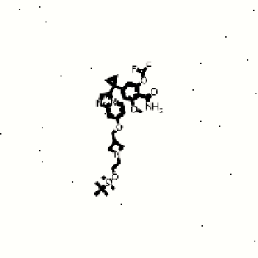 COc1cc(C2(c3cnc4cc(OCC5CN(CCO[Si](C)(C)C(C)(C)C)C5)ccn34)CC2)cc(OC(F)F)c1C(N)=O